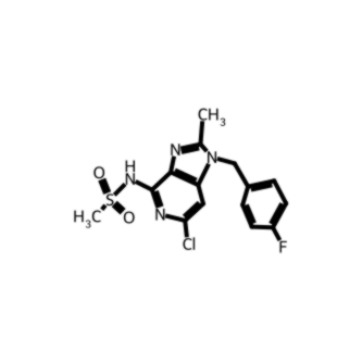 Cc1nc2c(NS(C)(=O)=O)nc(Cl)cc2n1Cc1ccc(F)cc1